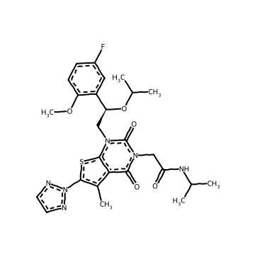 COc1ccc(F)cc1[C@H](Cn1c(=O)n(CC(=O)NC(C)C)c(=O)c2c(C)c(-n3nccn3)sc21)OC(C)C